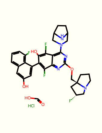 Cl.O=CO.Oc1cc(-c2c(O)c(F)c3c(N4CC5CCC(C4)N5)nc(OC[C@@]45CCCN4C[C@H](F)C5)nc3c2F)c2c(F)cccc2c1